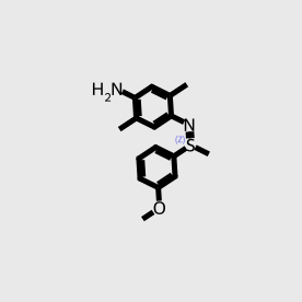 COc1cccc(/S(C)=N\c2cc(C)c(N)cc2C)c1